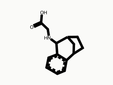 O=C(O)CNC1c2ccccc2C2CCC1C2